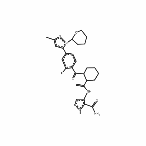 C=C(Nc1cn[nH]c1C(N)=O)C1CCCCC1C(=O)c1ccc(-c2cc(C)nn2C2CCCCO2)cc1F